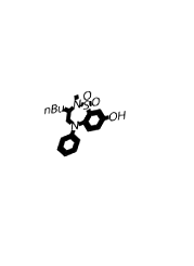 CCCCC1CN(c2ccccc2)c2ccc(O)cc2S(=O)(=O)N1C